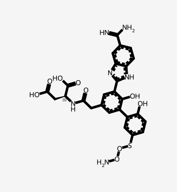 N=C(N)c1ccc2[nH]c(-c3cc(CC(=O)N[C@@H](CC(=O)O)C(=O)O)cc(-c4cc(SOON)ccc4O)c3O)nc2c1